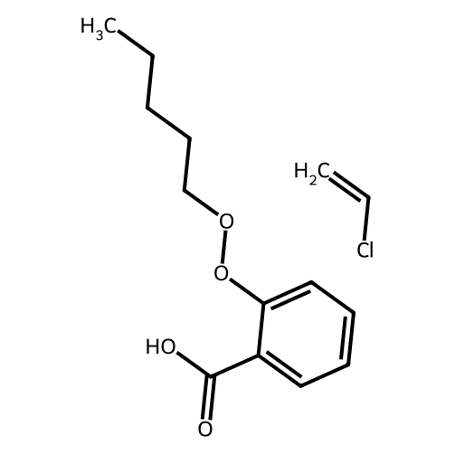 C=CCl.CCCCCOOc1ccccc1C(=O)O